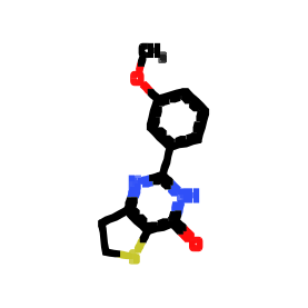 COc1cccc(-c2nc3c(c(=O)[nH]2)SCC3)c1